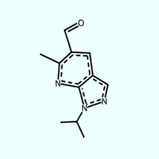 Cc1nc2c(cnn2C(C)C)cc1C=O